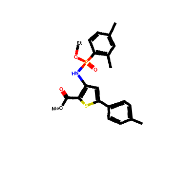 CCOP(=O)(Nc1cc(-c2ccc(C)cc2)sc1C(=O)OC)c1ccc(C)cc1C